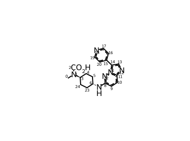 CN(C(=O)O)[C@H]1CC[C@H](Nc2ccc3ncc(-c4ccncc4)n3n2)CC1